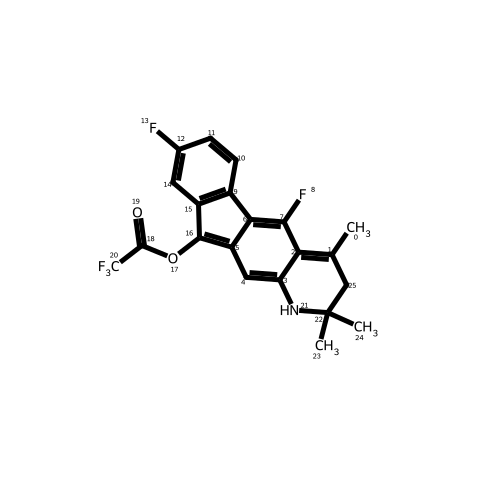 CC1=c2c(cc3c(c2F)-c2ccc(F)cc2C=3OC(=O)C(F)(F)F)NC(C)(C)C1